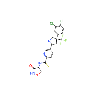 O=C1NOCC1NC(=S)c1ccc(C2=NCC(c3ccc(Cl)c(Cl)c3)(C(F)(F)F)C2)cn1